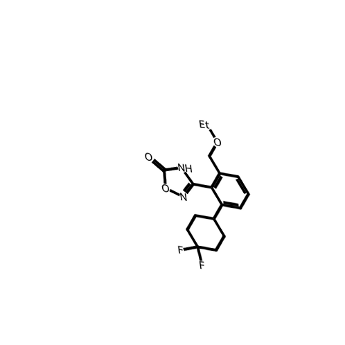 CCOCc1cccc(C2CCC(F)(F)CC2)c1-c1noc(=O)[nH]1